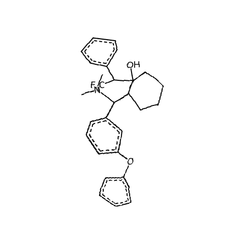 CN(C)C(c1cccc(Oc2ccccc2)c1)C1CCCCC1(O)C(c1ccccc1)C(F)(F)F